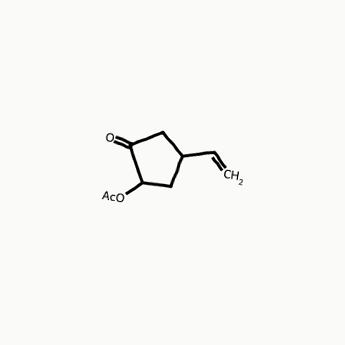 C=CC1CC(=O)C(OC(C)=O)C1